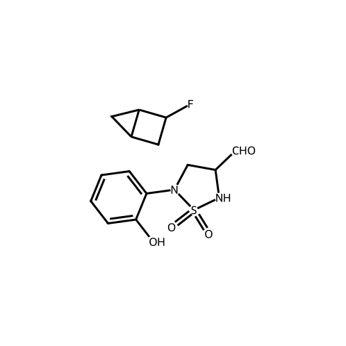 FC1CC2CC12.O=CC1CN(c2ccccc2O)S(=O)(=O)N1